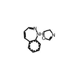 C1=Cc2ccccc2NN=C1.C1=NCCO1